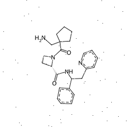 NCC1(C(=O)N2CC[C@H]2C(=O)NC(Cc2ccccn2)c2ccccc2)CCCC1